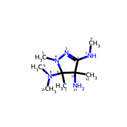 CNC1=NN(C)C(C)(N(C)C)C1(C)N